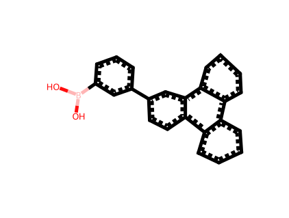 OB(O)c1cccc(-c2ccc3c4ccccc4c4ccccc4c3c2)c1